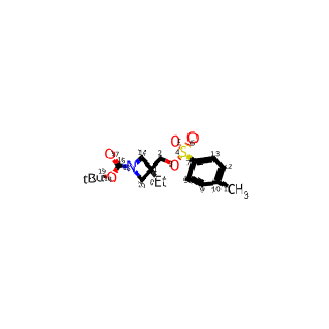 CCC1(COS(=O)(=O)c2ccc(C)cc2)CN(C(=O)OC(C)(C)C)C1